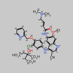 CCOc1cc2ncc(C#N)c(Nc3ccc(OCc4ccccn4)c(Cl)c3)c2cc1NC(=O)C=CCN(C)C.O=C(O)CC(O)(CC(=O)O)C(=O)O